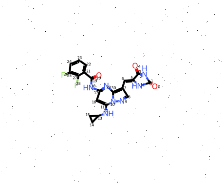 O=C1NC(=O)/C(=C/c2cnn3c(NC4CC4)cc(NC(=O)c4cccc(F)c4F)nc23)N1